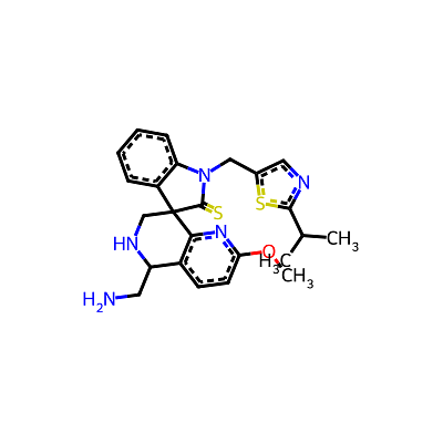 COc1ccc2c(n1)C1(CNC2CN)C(=S)N(Cc2cnc(C(C)C)s2)c2ccccc21